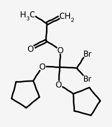 C=C(C)C(=O)OC(OC1CCCC1)(OC1CCCC1)C(Br)Br